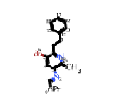 CCC/C=N/c1cc(Br)c(CCc2ccccc2)nc1C